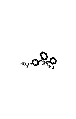 CC(C)(C)[Si](OCc1ccc(C(=O)O)cc1)(c1ccccc1)c1ccccc1